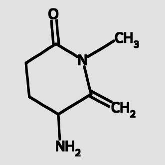 C=C1C(N)CCC(=O)N1C